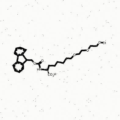 CCOCCOCCOCCCCCC[C@H](NC(=O)OCC1c2ccccc2-c2ccccc21)C(=O)O